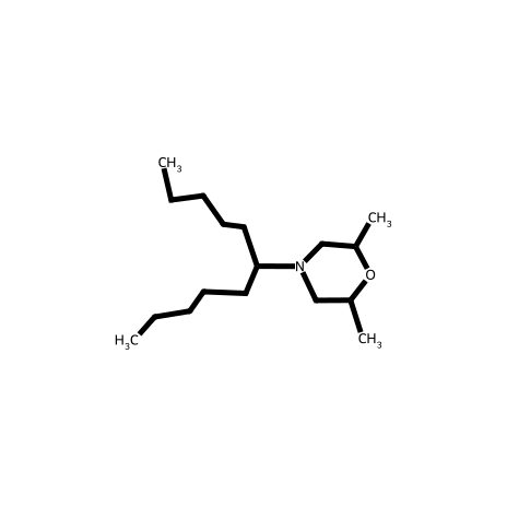 CCCCCC(CCCCC)N1CC(C)OC(C)C1